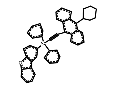 C(#C[Si](c1ccccc1)(c1ccccc1)c1ccc2oc3ccccc3c2c1)c1c2ccccc2c(C2CCCCC2)c2ccccc12